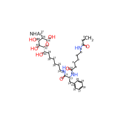 C=CC(=O)NCCCCCC(=O)N[C@@H](Cc1ccccc1)C(=O)NCCCCCCC(O)[C@H]1O[C@@H](O)[C@H](NC(C)=O)[C@@H](O)[C@@H]1O